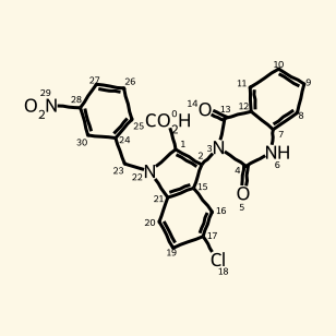 O=C(O)c1c(-n2c(=O)[nH]c3ccccc3c2=O)c2cc(Cl)ccc2n1Cc1cccc([N+](=O)[O-])c1